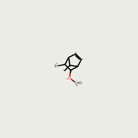 CCC1C2C=CC(C2C)C1OC=O